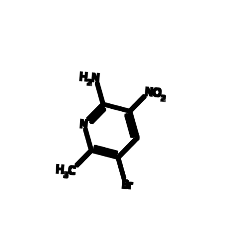 Cc1nc(N)c([N+](=O)[O-])cc1Br